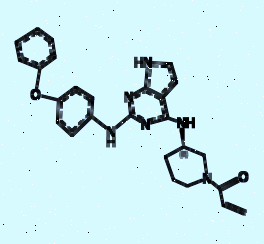 C=CC(=O)N1CCC[C@@H](Nc2nc(Nc3ccc(Oc4ccccc4)cc3)nc3[nH]ccc23)C1